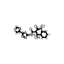 CCn1c(=O)c(C(=O)Nc2nnc(-c3cscn3)s2)c(O)c2ccccc21